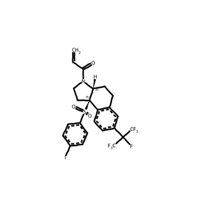 C=CC(=O)N1CC[C@@]2(S(=O)(=O)c3ccc(I)cc3)c3ccc(C(F)(C(F)(F)F)C(F)(F)F)cc3CC[C@@H]12